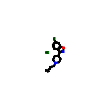 C=CCN1CCC(c2noc3cc(Cl)ccc23)CC1.Cl